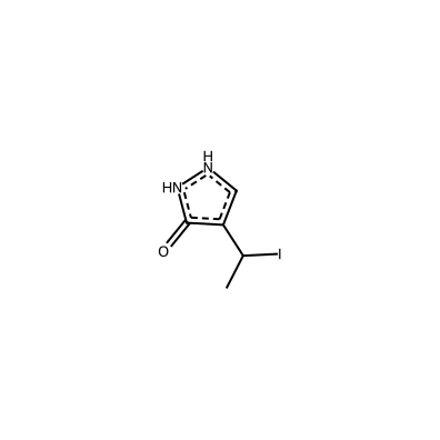 CC(I)c1c[nH][nH]c1=O